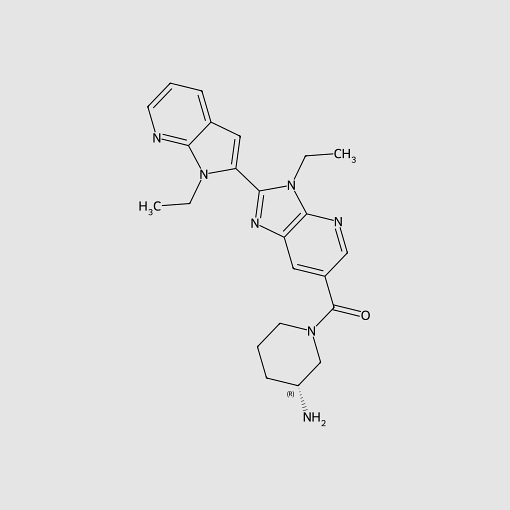 CCn1c(-c2nc3cc(C(=O)N4CCC[C@@H](N)C4)cnc3n2CC)cc2cccnc21